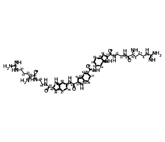 N=C(N)NCCC[C@H](N)C(=O)NCCNC(=O)c1cc2ccc(NC(=O)c3ccc4[nH]c(C(=O)Nc5ccc6cc(C(=O)NCCNC(=O)[C@@H](N)CCCNC(=N)N)[nH]c6c5)cc4c3)cc2[nH]1